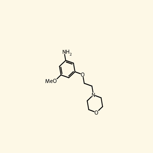 COc1cc(N)cc(OCCN2CCOCC2)c1